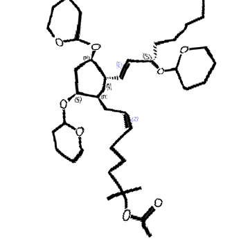 CCCCC[C@@H](/C=C/[C@@H]1[C@@H](C/C=C\CCCC(C)(C)OC(C)=O)[C@@H](OC2CCCCO2)C[C@H]1OC1CCCCO1)OC1CCCCO1